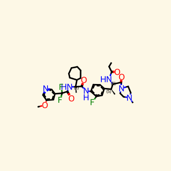 CCC(=O)N[C@@H](C(=O)N1CCN(C)CC1)[C@@H](C)c1ccc(NC(=O)[C@](C)(NC(=O)C(F)(F)c2cncc(OC)c2)C2CCCCCC2)c(F)c1